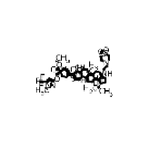 C=C(C)[C@@H]1CC[C@]2(NCCN3CCS(=O)(=O)CC3)CC[C@]3(C)[C@H](CC[C@@H]4[C@@]5(C)CC=C(C6=CCC(COc7cc(C(F)(F)F)n(C)n7)(C(=O)OCC)CC6)C(C)(C)[C@@H]5CC[C@]43C)[C@@H]12